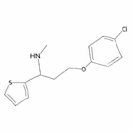 CNC(CCOc1ccc(Cl)cc1)c1cccs1